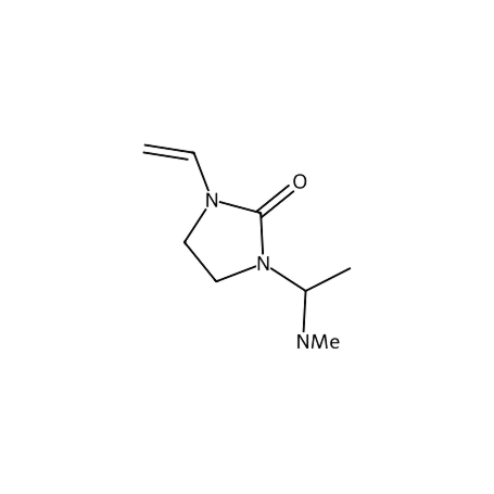 C=CN1CCN(C(C)NC)C1=O